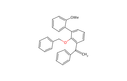 C=C(c1ccccc1)c1cccc(-c2ccccc2OC)c1OCc1ccccc1